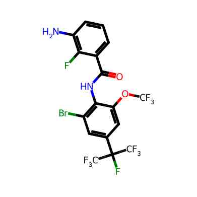 Nc1cccc(C(=O)Nc2c(Br)cc(C(F)(C(F)(F)F)C(F)(F)F)cc2OC(F)(F)F)c1F